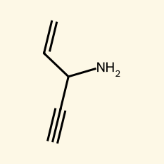 C#CC(N)C=C